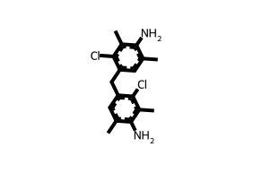 Cc1cc(Cc2cc(C)c(N)c(C)c2Cl)c(Cl)c(C)c1N